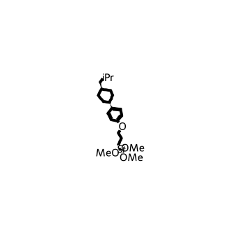 CO[Si](CCCOc1ccc([C@H]2CC[C@H](CC(C)C)CC2)cc1)(OC)OC